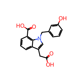 O=C(O)Cc1cn(Cc2cccc(O)c2)c2c(C(=O)O)cccc12